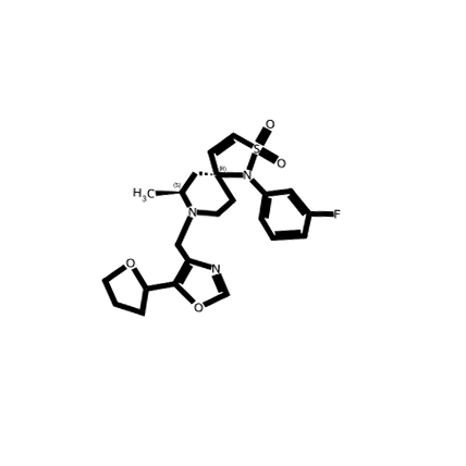 C[C@H]1C[C@@]2(C=CS(=O)(=O)N2c2cccc(F)c2)CCN1Cc1ncoc1C1CCCO1